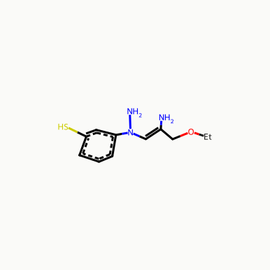 CCOC/C(N)=C/N(N)c1cccc(S)c1